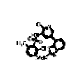 CNc1nc2cccc(-c3cnc(Cl)c(NS(=O)(=O)c4c(C)cccc4Cl)c3)c2s1